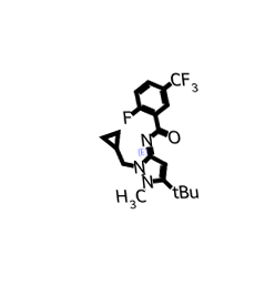 Cn1c(C(C)(C)C)c/c(=N\C(=O)c2cc(C(F)(F)F)ccc2F)n1CC1CC1